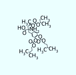 CCC(C)OC(=O)O[C@@H](C)CC(N)(Cc1ccc(OC(=O)OCCC(C)C)c(OC(=O)OCCC(C)C)c1)C(=O)O